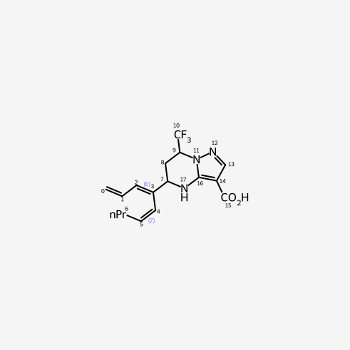 C=C/C=C(\C=C/CCC)C1CC(C(F)(F)F)n2ncc(C(=O)O)c2N1